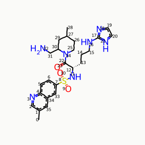 Cc1cnc2ccc(S(=O)(=O)N[C@@H](CCCNc3ncc[nH]3)C(=O)N3CCC(C)CC3CN)cc2c1